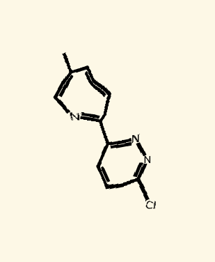 Cc1ccc(-c2ccc(Cl)nn2)nc1